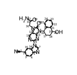 N#Cc1ccc2ncn(-c3ncc4c(n3)n(C3CCC(O)c5ccccc53)c(=O)n4CC(N)=O)c2c1